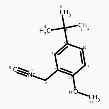 [C-]#[N+]Cc1cc(C(C)(C)C)ccc1OC